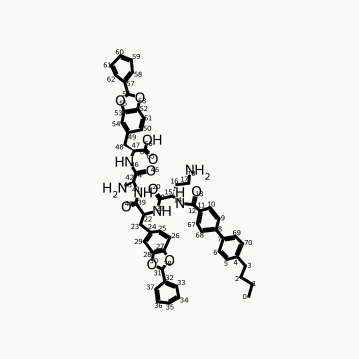 CCCCc1ccc(-c2ccc(C(=O)N[C@@H](CCN)C(=O)NC(Cc3ccc4c(c3)OC(c3ccccc3)O4)C(=O)N[C@@H](N)C(=O)N[C@@H](Cc3ccc4c(c3)OC(c3ccccc3)O4)C(=O)O)cc2)cc1